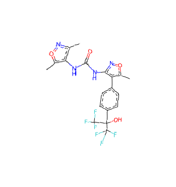 Cc1noc(C)c1NC(=O)Nc1noc(C)c1-c1ccc(C(O)(C(F)(F)F)C(F)(F)F)cc1